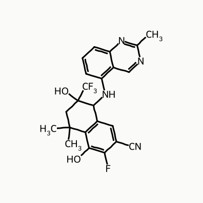 Cc1ncc2c(NC3c4cc(C#N)c(F)c(O)c4C(C)(C)CC3(O)C(F)(F)F)cccc2n1